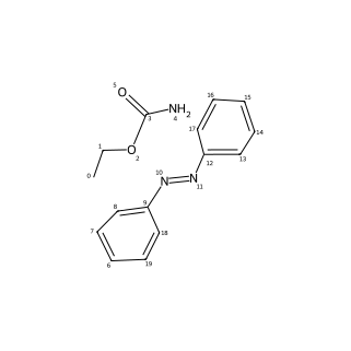 CCOC(N)=O.c1ccc(N=Nc2ccccc2)cc1